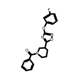 O=C(c1ccccc1)N1CCCC(c2nc(Oc3cccc(F)c3)no2)C1